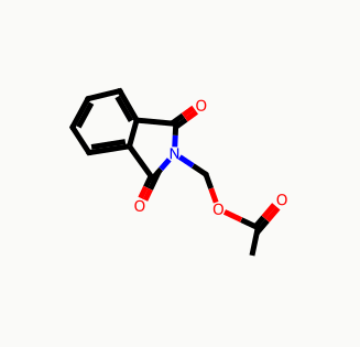 CC(=O)OCN1C(=O)c2ccccc2C1=O